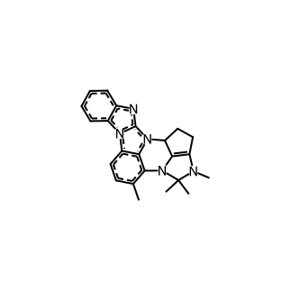 Cc1ccc2c3c1N1C4=C(CCC4n3c3nc4ccccc4n23)N(C)C1(C)C